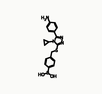 Nc1ccc(-c2nnc(SCc3ccc(B(O)O)cc3)n2C2CC2)cc1